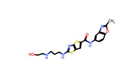 Cc1nc2cc(NC(=O)c3cc4sc(NCCCNCCO)nc4s3)ccc2o1